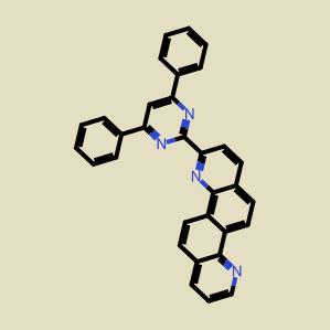 c1ccc(-c2cc(-c3ccccc3)nc(-c3ccc4ccc5c(ccc6cccnc65)c4n3)n2)cc1